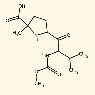 COC(=O)NC(C(=O)C1CCC(C)(C(=O)O)N1)C(C)C